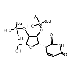 CC(C)(C)[Si](C)(C)OC1C(O[Si](C)(C)C(C)(C)C)[C@@H](CO)O[C@H]1n1ccc(=O)[nH]c1=O